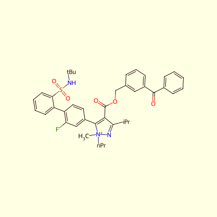 CCC[N+]1(C)N=C(C(C)C)C(C(=O)OCc2cccc(C(=O)c3ccccc3)c2)=C1c1ccc(-c2ccccc2S(=O)(=O)NC(C)(C)C)c(F)c1